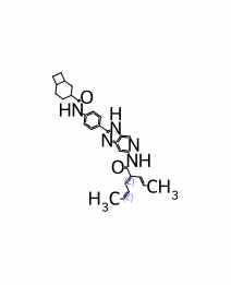 CC=C/C(=C\C=C/C)C(=O)Nc1cc2nc(-c3ccc(NC(=O)C4CCC5CCC5C4)cc3)[nH]c2cn1